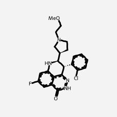 COCCN1CC[C@@H]([C@@H]2Nc3cc(F)cc4c(=O)[nH]nc(c34)[C@H]2c2ccccc2Cl)C1